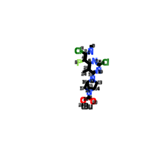 C=N/C(Cl)=C(/F)c1nc(Cl)nc(N2CC3CC2CN3C(=O)OC(C)(C)C)c1C